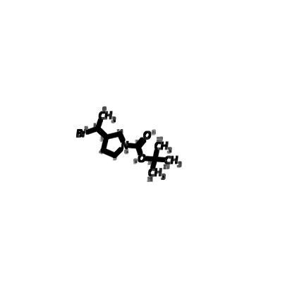 CC(Br)C1CCN(C(=O)OC(C)(C)C)C1